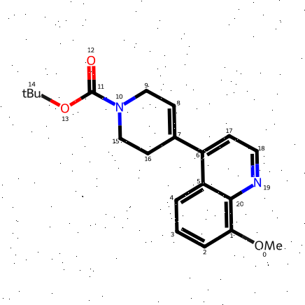 COc1cccc2c(C3=CCN(C(=O)OC(C)(C)C)CC3)ccnc12